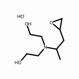 CC(CC1CO1)N(CCO)CCO.Cl